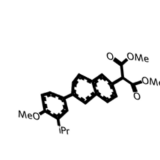 COC(=O)C(C(=O)OC)c1ccc2cc(-c3ccc(OC)c(C(C)C)c3)ccc2c1